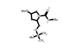 COC1CC(CO[Si](C)(C)C(C)(C)C)N(C(=O)OC(C)(C)C)C1